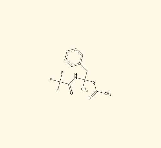 CC(=O)SC(C)(Cc1ccccc1)NC(=O)C(F)(F)F